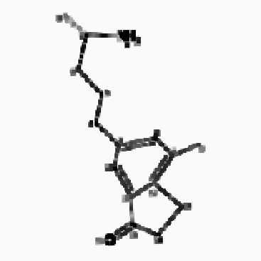 Cc1cc(CCC[C@H](C)N)cc2c1CCC2=O